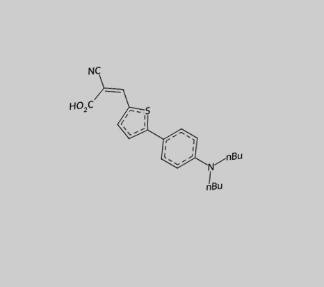 CCCCN(CCCC)c1ccc(-c2ccc(/C=C(/C#N)C(=O)O)s2)cc1